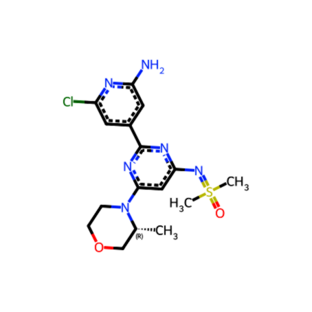 C[C@@H]1COCCN1c1cc(N=S(C)(C)=O)nc(-c2cc(N)nc(Cl)c2)n1